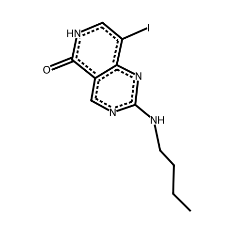 CCCCNc1ncc2c(=O)[nH]cc(I)c2n1